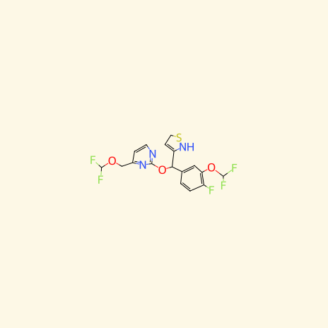 Fc1ccc(C(Oc2nccc(COC(F)F)n2)C2=CCSN2)cc1OC(F)F